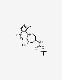 Cn1ncc([N+](=O)[O-])c1N1CCC(NC(=O)OC(C)(C)C)CC(O)C1